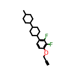 C#CCOc1ccc(C2CCC(C3CCC(C)CC3)CC2)c(F)c1F